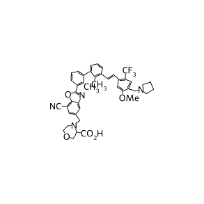 COc1cc(/C=C/c2cccc(-c3cccc(-c4nc5cc(CN6CCOCC6C(=O)O)cc(C#N)c5o4)c3C)c2C)c(C(F)(F)F)cc1CN1CCCC1